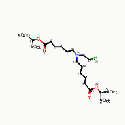 CCCCCCCCC(CCCCCCCC)OC(=O)CCCCCN(CCCl)CCCCCC(=O)OC(CCCCCCCC)CCCCCCCC